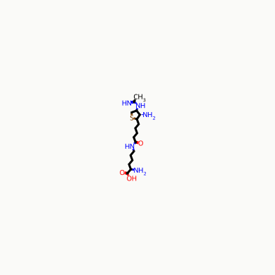 CC(=N)NC1CSC(CCCCC(=O)NCCCCC(N)C(=O)O)[C@H]1N